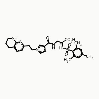 Cc1cc(C)c(S(=O)(=O)N[C@@H](CNC(=O)c2ccn(CCc3ccc4c(n3)NCCC4)c2)C(=O)O)c(C)c1